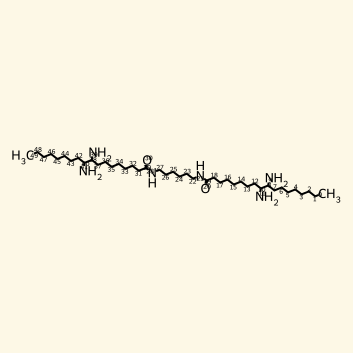 CCCCCCCCC(N)C(N)CCCCCCCC(=O)NCCCCCCNC(=O)CCCCCCCC(N)C(N)CCCCCCCC